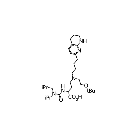 CC(C)CN(C(=O)N[C@H](CCN(CCCCc1ccc2c(n1)NCCC2)CCOC(C)(C)C)C(=O)O)C(C)C